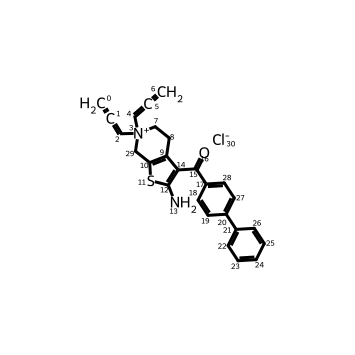 C=C=C[N+]1(C=C=C)CCc2c(sc(N)c2C(=O)c2ccc(-c3ccccc3)cc2)C1.[Cl-]